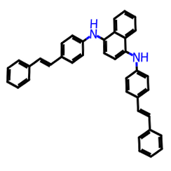 C(=C\c1ccc(Nc2ccc(Nc3ccc(/C=C/c4ccccc4)cc3)c3ccccc23)cc1)/c1ccccc1